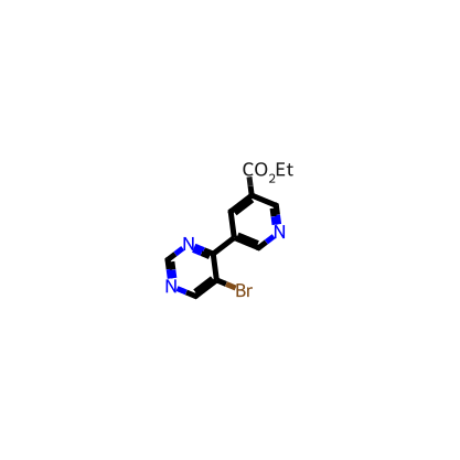 CCOC(=O)c1cncc(-c2ncncc2Br)c1